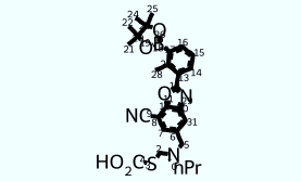 CCCN(CSC(=O)O)Cc1cc(C#N)c2oc(-c3cccc(B4OC(C)(C)C(C)(C)O4)c3C)nc2c1